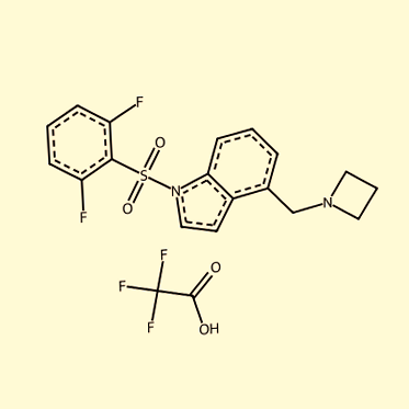 O=C(O)C(F)(F)F.O=S(=O)(c1c(F)cccc1F)n1ccc2c(CN3CCC3)cccc21